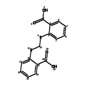 O=C(O)c1ccccc1SCSc1ccccc1C(=O)O